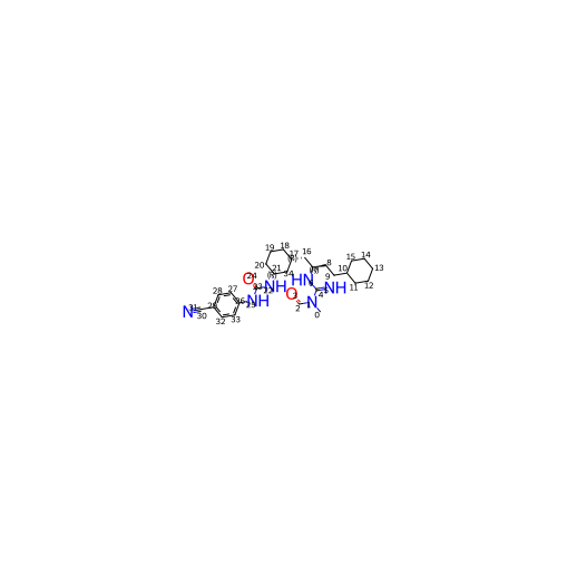 CN(C=O)C(=N)N[C@H](CCC1CCCCC1)C[C@H]1CCC[C@@H](NC(=O)Nc2ccc(C#N)cc2)C1